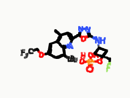 Cc1cc(-c2nnc(N[C@H]3C[C@@](CF)(OP(=O)(O)O)C3)o2)nc2c(C(C)(C)C)cc(OCC(F)(F)F)cc12